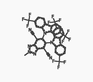 Cn1nc2c(C#N)c(-n3c4cc(C(F)(F)F)ccc4c4ccc(C(F)(F)F)cc43)c(-n3c4cc(C(F)(F)F)ccc4c4ccc(C(F)(F)F)cc43)c(C#N)c2n1